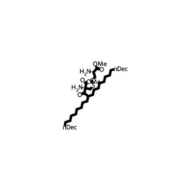 CCCCCCCCCCCCCCCCCCC(CCCCCCCCCCCCCCCCCC)C(=O)[C@](N)(CSSC[C@H](N)C(=O)OC)C(=O)OC